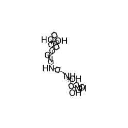 O=C(COc1cccc([C@](O)(C(=O)O)c2ccccc2)c1)N1CCC(Nc2ccc(CCNC[C@H](O)c3ccc(O)c4[nH]c(=O)ccc34)cc2)CC1